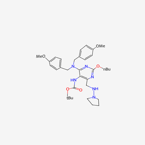 CCCCOc1nc(CNN2CCCC2)c(NC(=O)OC(C)(C)C)c(N(Cc2ccc(OC)cc2)Cc2ccc(OC)cc2)n1